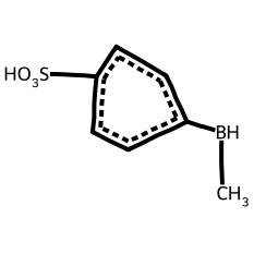 CBc1ccc(S(=O)(=O)O)cc1